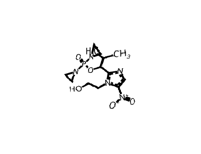 CC(C)C(OP(=O)(N1CC1)N1CC1)c1ncc([N+](=O)[O-])n1CCO